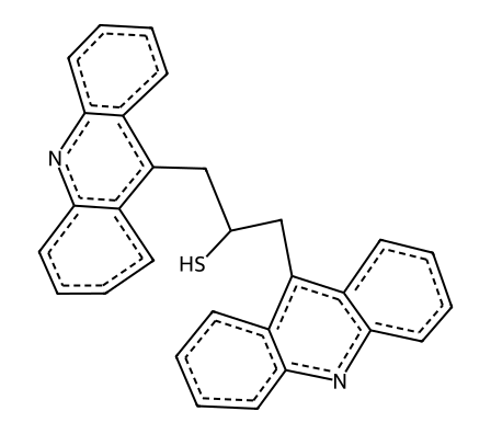 SC(Cc1c2ccccc2nc2ccccc12)Cc1c2ccccc2nc2ccccc12